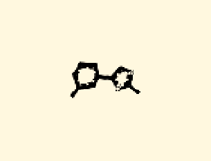 Cc1cccc(-c2cnc(C)o2)c1